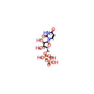 O=c1ccn([C@H]2O[C@@H](COP(=O)(O)OP(=O)(O)O)C(O)C2O)c(=O)[nH]1